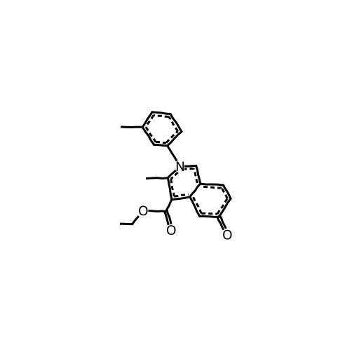 CCOC(=O)c1c2cc(=O)ccc-2cn(-c2cccc(C)c2)c1C